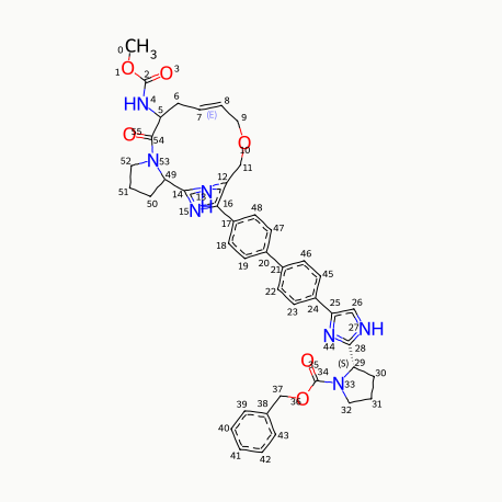 COC(=O)NC1C/C=C/COCc2[nH]c(nc2-c2ccc(-c3ccc(-c4c[nH]c([C@@H]5CCCN5C(=O)OCc5ccccc5)n4)cc3)cc2)C2CCCN2C1=O